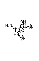 CC1(CCNC(=O)[C@H](CC(=O)O)NC(=O)[C@H](CCCCN)NCCC2(C)N=N2)N=N1